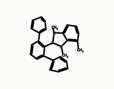 Cc1cccc2c1N(C)B(c1c(-c3ccccc3)cccc1-c1ccccc1)N2C